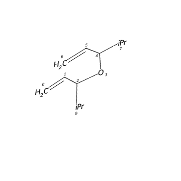 C=CC(OC(C=C)C(C)C)C(C)C